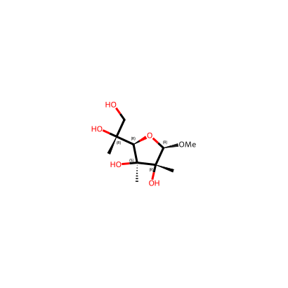 CO[C@@H]1O[C@H]([C@](C)(O)CO)[C@](C)(O)[C@@]1(C)O